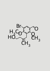 COc1c(Br)cc(C=O)c(OC)c1C[C@H](C)CCO